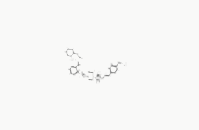 CC(CC1CCCCC1)NCc1ccccc1NC(=O)N1CCN(S(=O)(=O)CC=Cc2ccc(CN)cc2)CC1